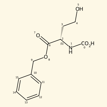 O=C(O)N[C@@H](CCO)C(=O)OCc1ccccc1